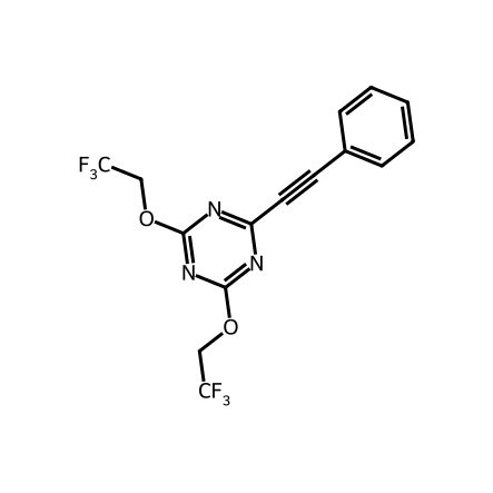 FC(F)(F)COc1nc(C#Cc2ccccc2)nc(OCC(F)(F)F)n1